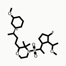 COC1CCC[C@@H](C(C)CCC2OCCN(S(=O)(=O)C(C)C3CCC(F)C3C(C)OC)C2(C)C)C1